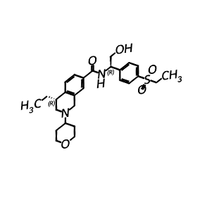 CC[C@H]1CN(C2CCOCC2)Cc2cc(C(=O)N[C@@H](CO)c3ccc(S(=O)(=O)CC)cc3)ccc21